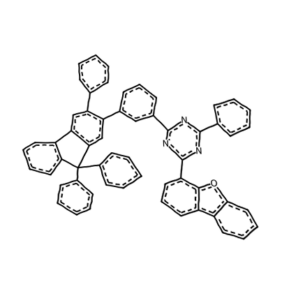 c1ccc(-c2nc(-c3cccc(-c4cc5c(cc4-c4ccccc4)-c4ccccc4C5(c4ccccc4)c4ccccc4)c3)nc(-c3cccc4c3oc3ccccc34)n2)cc1